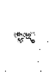 N[C@@H]1C[C@H]2C(=O)N([C@H](CCc3nsc(=O)[nH]3)C(=O)NCc3ccc(Cl)c(Cl)c3)CCC(CCc3ccccc3)N2C1